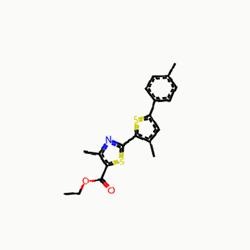 CCOC(=O)c1sc(-c2sc(-c3ccc(C)cc3)cc2C)nc1C